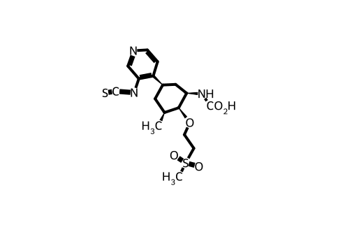 C[C@H]1C[C@@H](c2ccncc2N=C=S)C[C@@H](NC(=O)O)[C@H]1OCCS(C)(=O)=O